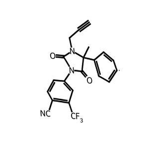 C#CCN1C(=O)N(c2ccc(C#N)c(C(F)(F)F)c2)C(=O)C1(C)c1cc[c]cc1